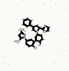 Cc1cc(C)n(-c2ccc(Cl)cc2)n1.Fc1ccc(N2C=C(c3ccccc3)CC2c2ncco2)cc1